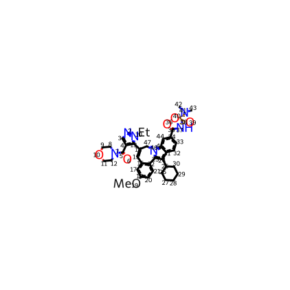 CCn1ncc(C(=O)N2CCOCC2)c1C1=Cc2cc(OC)ccc2-c2c(C3CCCCC3)c3ccc(C(=O)NS(=O)(=O)N(C)C)cc3n2C1